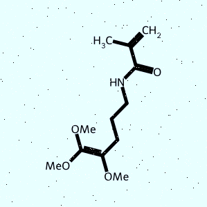 C=C(C)C(=O)NCCCC(OC)=C(OC)OC